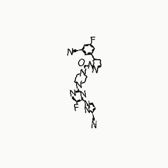 N#Cc1cc(F)cc(C2CC=NN2C(=O)N2CCN(c3ncc(F)c(-n4ccc(C#N)n4)n3)CC2)c1